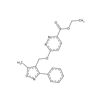 CCOC(=O)c1ccc(OCc2c(-c3ccccc3)noc2C)nn1